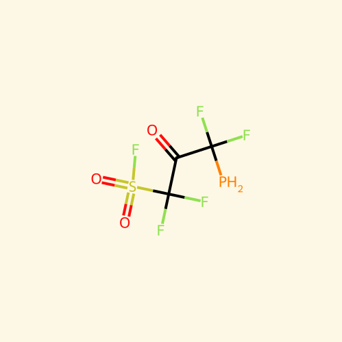 O=C(C(F)(F)P)C(F)(F)S(=O)(=O)F